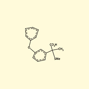 CSC(C)(C(=O)O)c1cccc(Oc2ccccc2)c1